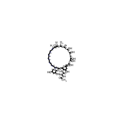 CC(=O)NNC(=O)N[C@H]1[C@@H]2C[C@@H](O[C@@H]3OC[C@@H](O)C[C@@H]3O)/C=C/C=C/C=C/C=C/C=C/C=C/C=C/[C@H](C)[C@@H](O)C[C@H](C)OC(=O)C[C@H](O)C[C@H](O)CC[C@@H](O)[C@H](O)CC(O)C[C@](O)(C[C@@H]1O)O2